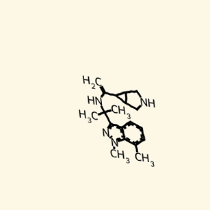 C=C(NC(C)(C)c1nn(C)c2c(C)cccc12)C1C2CNCC21